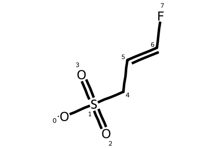 [O]S(=O)(=O)C/C=C/F